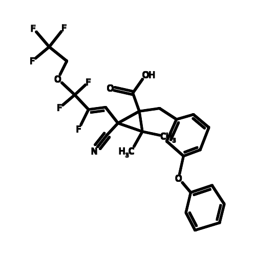 CC1(C)C(C#N)(C=C(F)C(F)(F)OCC(F)(F)F)C1(Cc1cccc(Oc2ccccc2)c1)C(=O)O